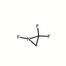 FN1CC1(F)F